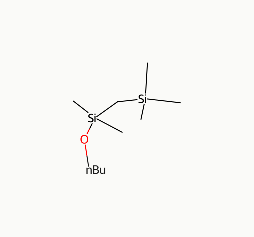 CCCCO[Si](C)(C)C[Si](C)(C)C